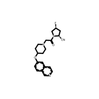 N#C[C@@H]1C[C@H](F)CN1C(=O)CN1CCC(Oc2ccc3cnccc3c2)CC1